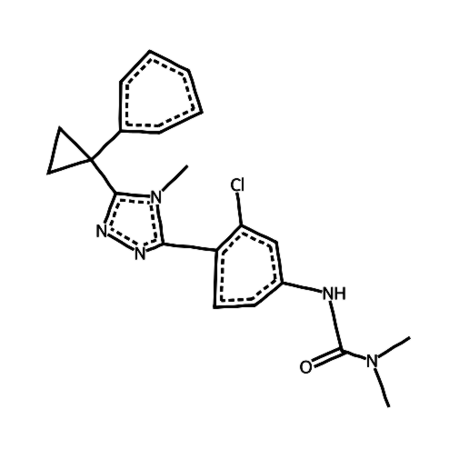 CN(C)C(=O)Nc1ccc(-c2nnc(C3(c4ccccc4)CC3)n2C)c(Cl)c1